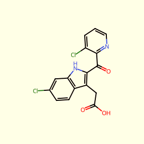 O=C(O)Cc1c(C(=O)c2ncccc2Cl)[nH]c2cc(Cl)ccc12